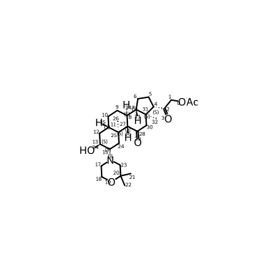 CC(=O)OCC(=O)[C@H]1CC[C@H]2[C@@H]3CC[C@H]4C[C@H](O)[C@@H](N5CCOC(C)(C)C5)C[C@]4(C)[C@H]3C(=O)C[C@]12C